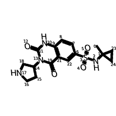 CC1(NS(=O)(=O)c2ccc3[nH]c(=O)n(C4CCNC4)c(=O)c3c2)CC1